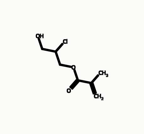 C=C(C)C(=O)OCC(Cl)CO